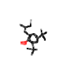 CCC(C)Cc1cc(C(C)(C)C)cc(C(C)(C)C)c1O